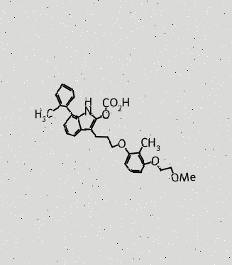 COCCOc1cccc(OCCCc2c(OC(=O)O)[nH]c3c(-c4ccccc4C)cccc23)c1C